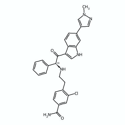 Cn1cc(-c2ccc3c(C(=O)[C@@H](NCCc4ccc(C(N)=O)cc4Cl)c4ccccc4)c[nH]c3c2)cn1